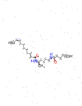 CCCC/C=C\CCCCCCCC(=O)N[C@H](C)CCCCNC(=O)CCCCCCCCCCCCC